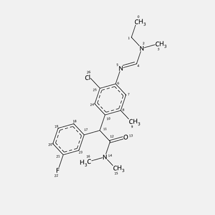 CCN(C)C=Nc1cc(C)c(C(C(=O)N(C)C)c2cccc(F)c2)cc1Cl